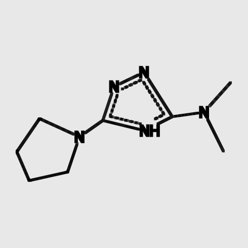 CN(C)c1nnc(N2CCCC2)[nH]1